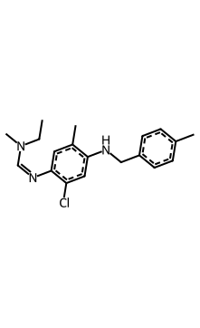 CCN(C)/C=N\c1cc(C)c(NCc2ccc(C)cc2)cc1Cl